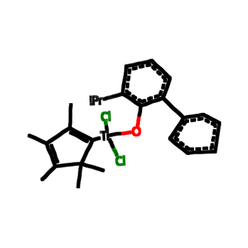 CC1=C(C)C(C)(C)[C]([Ti]([Cl])([Cl])[O]c2c(-c3ccccc3)cccc2C(C)C)=C1C